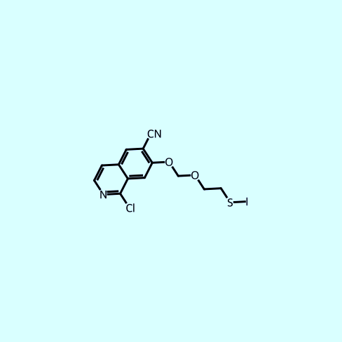 N#Cc1cc2ccnc(Cl)c2cc1OCOCCSI